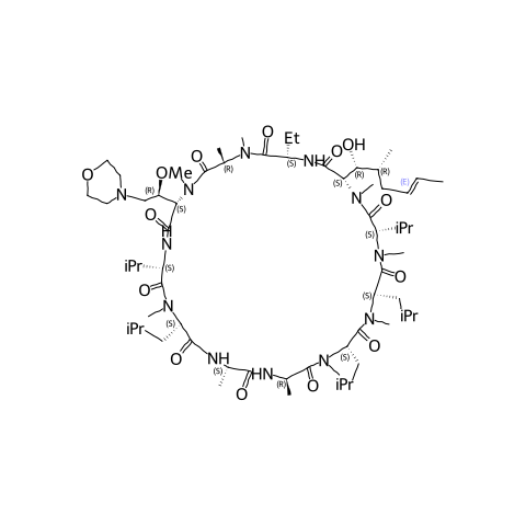 C/C=C/C[C@@H](C)[C@@H](O)[C@H]1C(=O)N[C@@H](CC)C(=O)N(C)[C@H](C)C(=O)N(C)[C@@H]([C@@H](CN2CCOCC2)OC)C(=O)N[C@@H](C(C)C)C(=O)N(C)[C@@H](CC(C)C)C(=O)N[C@@H](C)C(=O)N[C@H](C)C(=O)N(C)[C@@H](CC(C)C)C(=O)N(C)[C@@H](CC(C)C)C(=O)N(C)[C@@H](C(C)C)C(=O)N1C